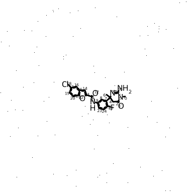 CN1C(=O)CC(C)(c2cc(NC(=O)c3cc4cc(Cl)ccc4o3)ccc2F)N=C1N